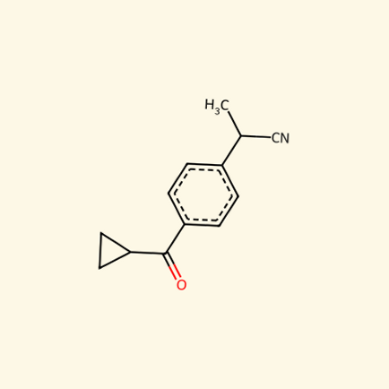 CC(C#N)c1ccc(C(=O)C2CC2)cc1